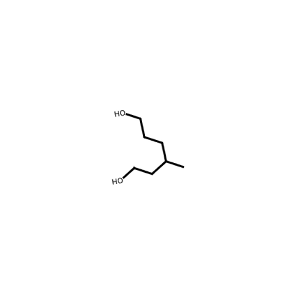 CC(C[CH]O)CCCO